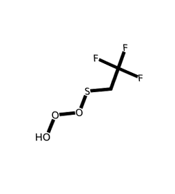 OOOSCC(F)(F)F